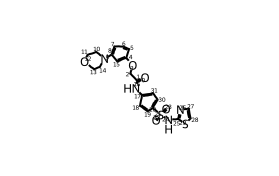 O=C(COc1cccc(N2CCOCC2)c1)Nc1ccc(S(=O)(=O)Nc2nccs2)cc1